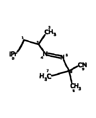 CC(C)CC(C)N=NC(C)(C)C#N